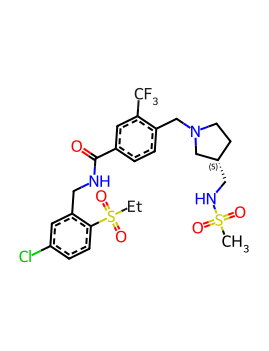 CCS(=O)(=O)c1ccc(Cl)cc1CNC(=O)c1ccc(CN2CC[C@H](CNS(C)(=O)=O)C2)c(C(F)(F)F)c1